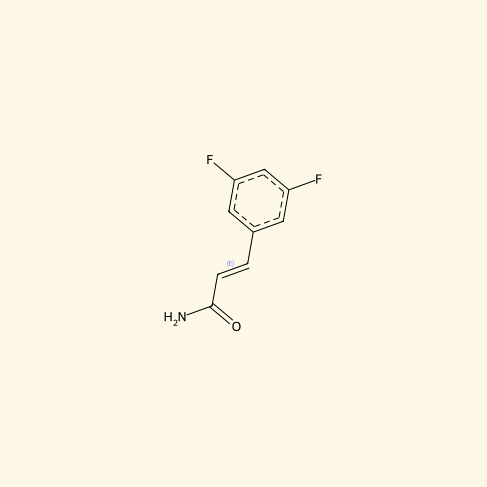 NC(=O)/C=C/c1cc(F)cc(F)c1